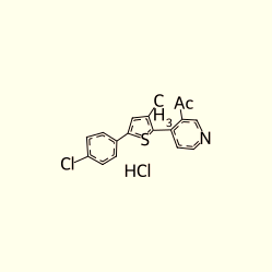 CC(=O)c1cnccc1-c1sc(-c2ccc(Cl)cc2)cc1C.Cl